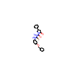 O=C1CC(c2ccccc2)CN1C(=O)NC(=S)Nc1cccc(OCc2ccccc2)c1